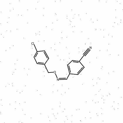 N#Cc1ccc(/[C]=N\OCc2ccc(Cl)cc2)cc1